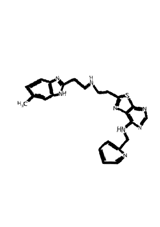 Cc1ccc2nc(CCNCCc3nc4c(NCc5ccccn5)ncnc4s3)[nH]c2c1